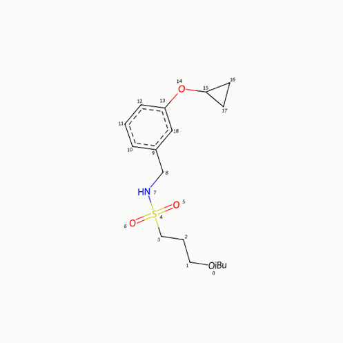 CC(C)COCCCS(=O)(=O)NCc1cccc(OC2CC2)c1